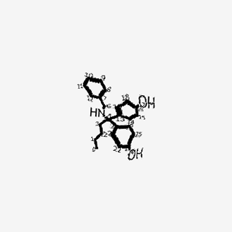 CC[CH]CC(NCc1ccccc1)(c1ccc(O)cc1)c1ccc(O)cc1